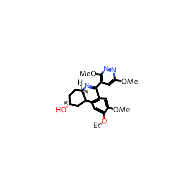 CCOc1cc2c(cc1OC)C(c1cc(OC)nnc1OC)=N[C@@H]1CC[C@@H](O)CC21